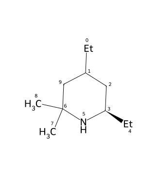 CCC1C[C@@H](CC)NC(C)(C)C1